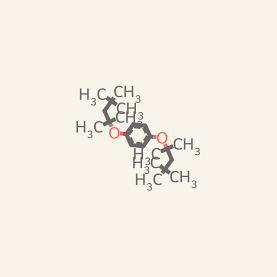 CC(C)(C)CC(C)(C)Oc1ccc(OC(C)(C)CC(C)(C)C)cc1